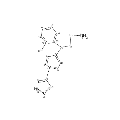 NCCC(c1ccc(-c2cn[nH]c2)cc1)c1ccccc1F